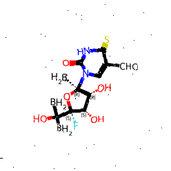 BC(B)(O)[C@@]1(F)O[C@@](B)(n2cc(C=O)c(=S)[nH]c2=O)[C@H](O)[C@@H]1O